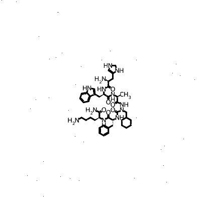 C[C@H](NC(=O)[C@@H](Cc1c[nH]c2ccccc12)NC(=O)[C@@H](N)CC1=CNCN1)C(=O)NN(CC1CCCCC1)C(=O)N[C@H](Cc1ccccc1)C(=O)N[C@@H](CCCCN)C(N)=O